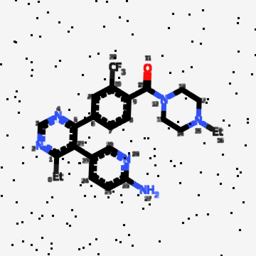 CCc1ncnc(-c2ccc(C(=O)N3CCN(CC)CC3)c(C(F)(F)F)c2)c1-c1ccc(N)nc1